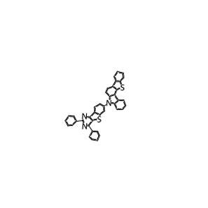 c1ccc(-c2nc(-c3ccccc3)c3sc4cc(-n5c6ccccc6c6c7sc8ccccc8c7ccc65)ccc4c3n2)cc1